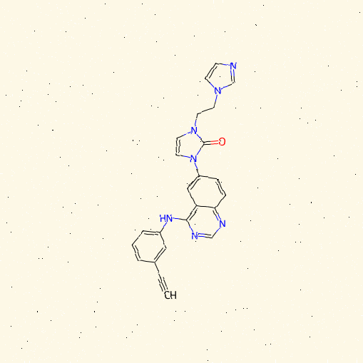 C#Cc1cccc(Nc2ncnc3ccc(-n4ccn(CCn5ccnc5)c4=O)cc23)c1